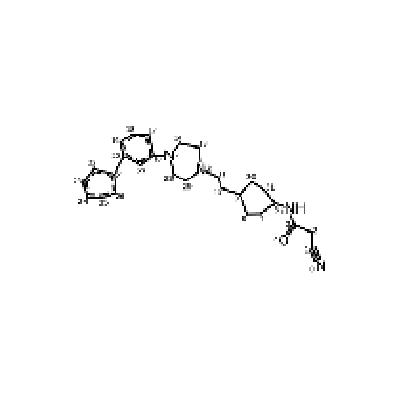 N#CCC(=O)NC1CCC(CCN2CCN(c3cccc(-c4ccccc4)c3)CC2)CC1